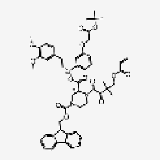 C=CC(=O)OCC(C)(C)C(=O)C(=O)N1CCN(C(=O)OCC2c3ccccc3-c3ccccc32)C[C@H]1C(=O)O[C@H](CCc1ccc(OC)c(OC)c1)c1cccc(OCC(=O)OC(C)(C)C)c1